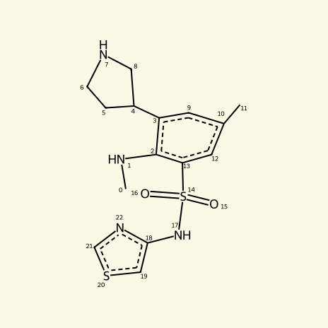 CNc1c(C2CCNC2)cc(C)cc1S(=O)(=O)Nc1cscn1